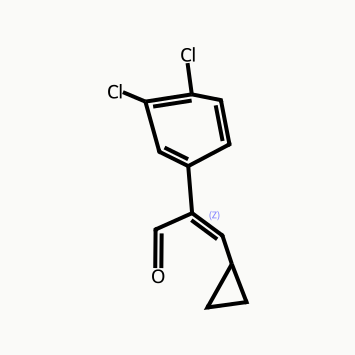 O=C/C(=C\C1CC1)c1ccc(Cl)c(Cl)c1